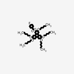 CCCCCCOc1cc2c3cc(OCCCCCC)c(OCCCCCC)cc3c3cc(OC(=O)c4ccc(F)cc4)c(OCCCCCC)cc3c2cc1OCCCCCC